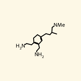 CNCC(C)CCC1=CC(CCN)=C(CCN)CC1